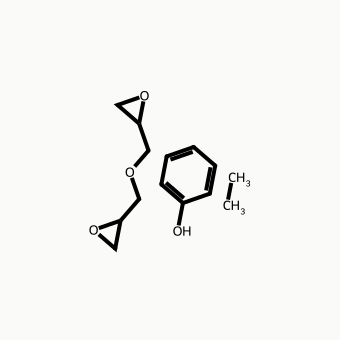 C(OCC1CO1)C1CO1.CC.Oc1ccccc1